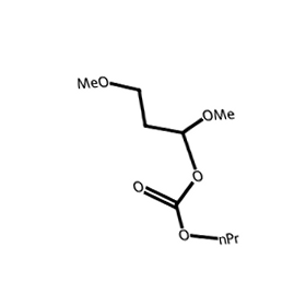 CCCOC(=O)OC(CCOC)OC